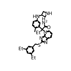 CCc1cc(CC)cc(CSc2nc3cccn(C(CC)(C(N)=O)c4cc(NC5CNC5)ccc4C)c-3n2)c1